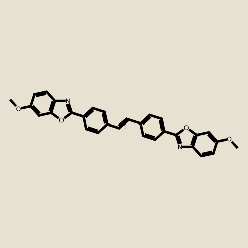 COc1ccc2nc(-c3ccc(/C=C/c4ccc(-c5nc6ccc(OC)cc6o5)cc4)cc3)oc2c1